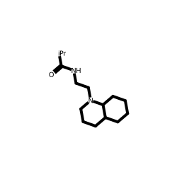 CC(C)C(=O)NCCN1CCCC2CCCCC21